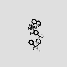 CC(CN1CCN(C(=O)c2ccc(NS(=O)(=O)C3=c4ncccc4=CCC3)c(F)c2)CC1)c1ccccc1